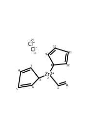 C=[CH][Zr+2]([CH]1C=CC=C1)[CH]1C=CC=C1.[Cl-].[Cl-]